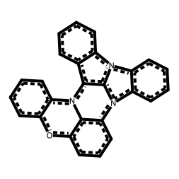 c1ccc2c(c1)oc1cccc3c1-n2c1c2ccccc2n2c4ccccc4n3c12